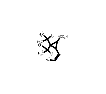 CCC(C)(C)C1(C(C)(C)CC)C(/C=C\C#N)C1C(=O)O